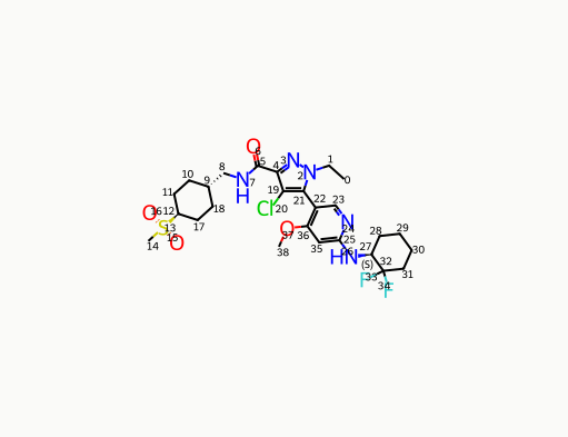 CCn1nc(C(=O)NC[C@H]2CC[C@H](S(C)(=O)=O)CC2)c(Cl)c1-c1cnc(N[C@H]2CCCCC2(F)F)cc1OC